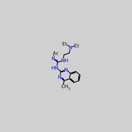 CCN(CC)CCN/C(=N\C(C)=O)Nc1nc(C)c2ccccc2n1